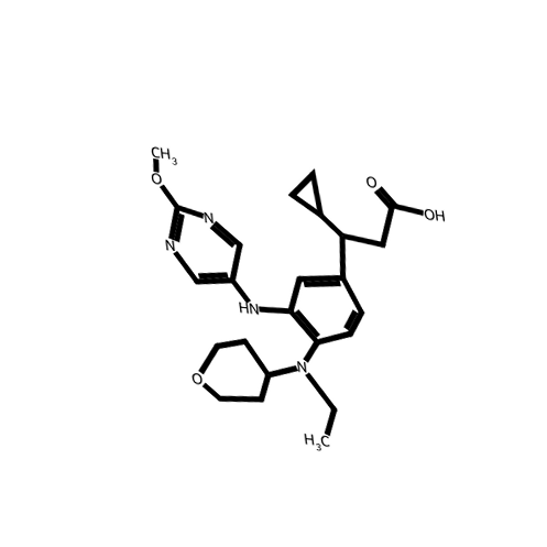 CCN(c1ccc(C(CC(=O)O)C2CC2)cc1Nc1cnc(OC)nc1)C1CCOCC1